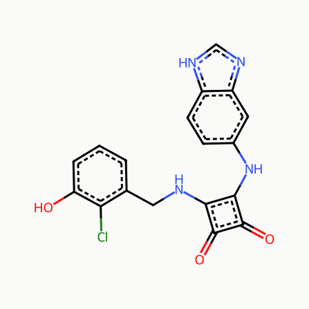 O=c1c(NCc2cccc(O)c2Cl)c(Nc2ccc3[nH]cnc3c2)c1=O